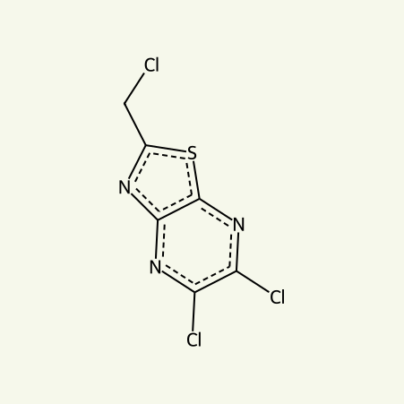 ClCc1nc2nc(Cl)c(Cl)nc2s1